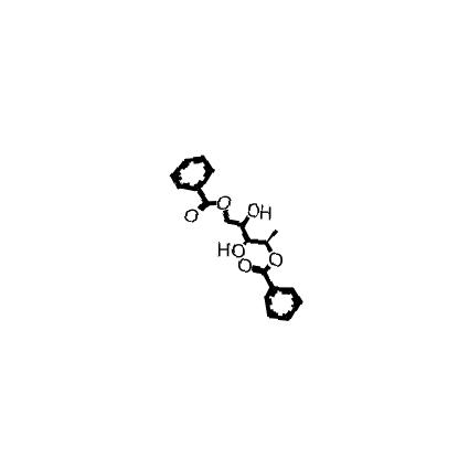 C[C@@H](OC(=O)c1ccccc1)[C@@H](O)C(O)COC(=O)c1ccccc1